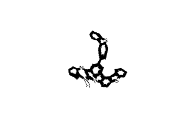 C1=CC2=Nc3c(n4c5ccc6sc7ccccc7c6c5c5cc(-c6ccc7sc8ccccc8c7c6)cc3c54)NC2C=C1